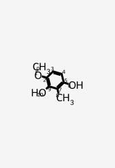 COc1ccc(O)c(C)c1O